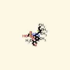 C=C/C=c1/sc(-c2cc(C(=O)NS(=O)(=O)CCO)c3c(O[C@H](C)C4CCOCC4)ccc(C)c3n2)c(C)c1=C